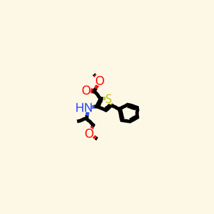 COCC(C)Nc1cc(-c2ccccc2)sc1C(=O)OC